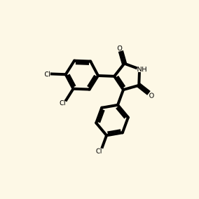 O=C1NC(=O)C(c2ccc(Cl)c(Cl)c2)=C1c1ccc(Cl)cc1